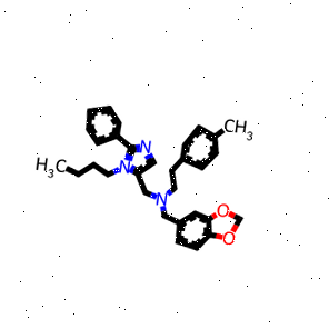 CCCCn1c(CN(CCc2ccc(C)cc2)Cc2ccc3c(c2)OCO3)cnc1-c1ccccc1